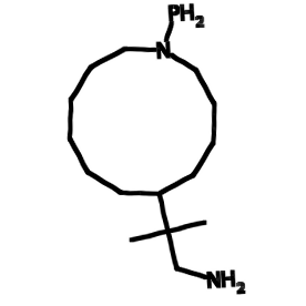 CC(C)(CN)C1CCCCCCN(P)CCCC1